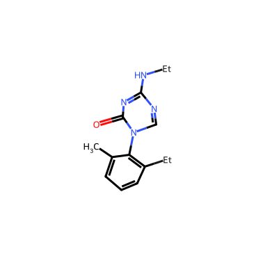 CCNc1ncn(-c2c(C)cccc2CC)c(=O)n1